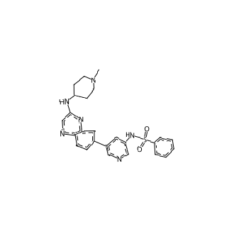 CN1CCC(Nc2cnc3ccc(-c4cncc(NS(=O)(=O)c5ccccc5)c4)cc3n2)CC1